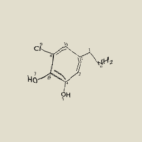 NCc1cc(O)c(O)c(Cl)c1